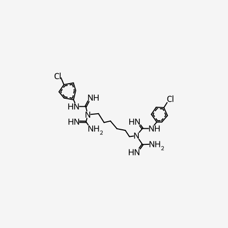 N=C(N)N(CCCCCCN(C(=N)N)C(=N)Nc1ccc(Cl)cc1)C(=N)Nc1ccc(Cl)cc1